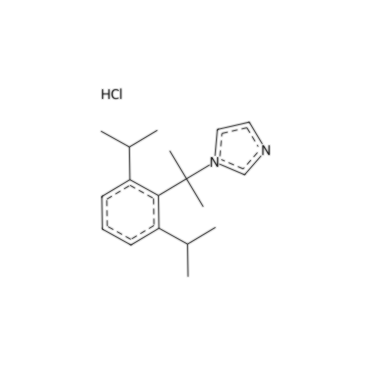 CC(C)c1cccc(C(C)C)c1C(C)(C)n1ccnc1.Cl